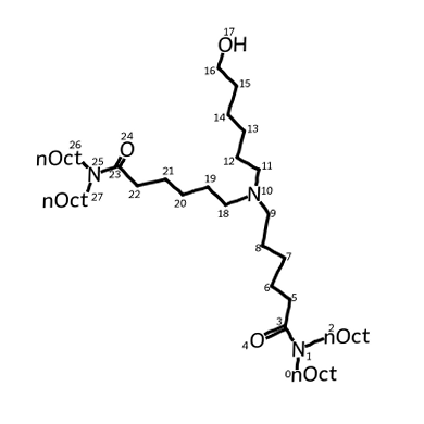 CCCCCCCCN(CCCCCCCC)C(=O)CCCCCN(CCCCCCO)CCCCCC(=O)N(CCCCCCCC)CCCCCCCC